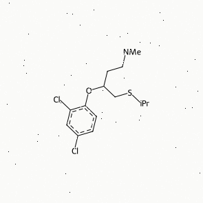 CNCCC(CSC(C)C)Oc1ccc(Cl)cc1Cl